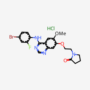 COc1cc2c(Nc3ccc(Br)cc3F)ncnc2cc1OCCN1CCCC1=O.Cl